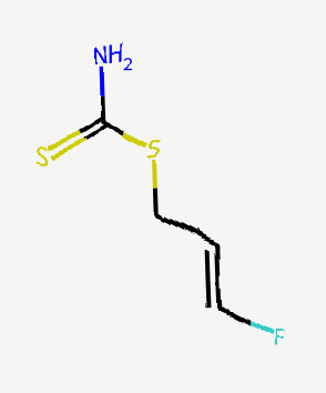 NC(=S)SCC=CF